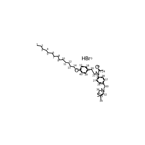 Br.CCCCCCCCCCCCCCOc1ccc(CCN(C(C)=O)c2ccc(CN3C=C(C)SC3)cc2)cc1